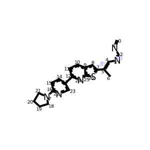 C=N/C=N\C=C(/C)c1cc2ccc(-c3ccc(N4CCCC4)nc3)nc2s1